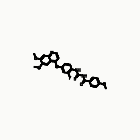 COc1ccc(C(=O)NC(=S)Nc2ccc(Oc3ccnc4cc(OC)c(OC)cc34)cc2F)cc1